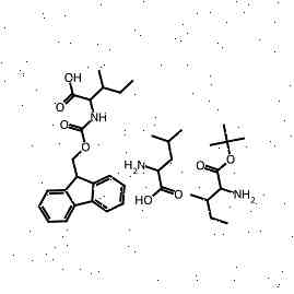 CC(C)CC(N)C(=O)O.CCC(C)C(N)C(=O)OC(C)(C)C.CCC(C)C(NC(=O)OCC1c2ccccc2-c2ccccc21)C(=O)O